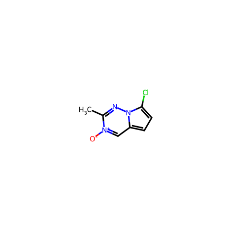 Cc1nn2c(Cl)ccc2c[n+]1[O-]